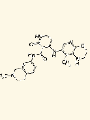 Cc1c(Nc2cc[nH]c(=O)c2C(=O)Nc2ccc3c(c2)CN(C)CC3)cnc2c1NCCO2